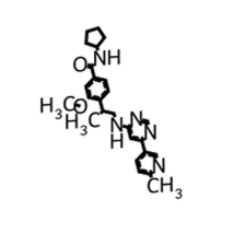 COc1cc(C(=O)NC2CCCC2)ccc1C(C)CNc1cc(-c2ccc(C)nc2)ncn1